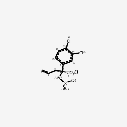 C=CC[C@](N[S+]([O-])C(C)(C)C)(C(=O)OCC)c1ccc(Cl)c(Cl)c1